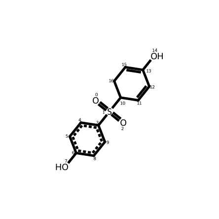 O=S(=O)(c1ccc(O)cc1)C1C=CC(O)=CC1